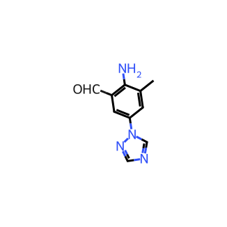 Cc1cc(-n2cncn2)cc(C=O)c1N